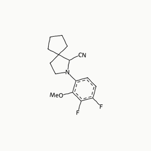 COc1c(N2CCC3(CCCC3)C2C#N)ccc(F)c1F